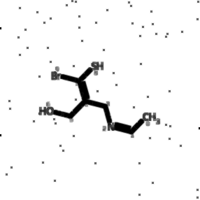 C/C=N\C/C(CO)=C(\S)Br